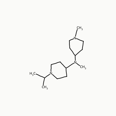 CC(C)N1CCC(N(C)C2CCN(C)CC2)CC1